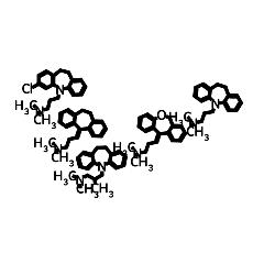 CC(CN(C)C)CN1c2ccccc2CCc2ccccc21.CN(C)CCC=C1c2ccccc2CCc2ccccc21.CN(C)CCC=C1c2ccccc2COc2ccccc21.CN(C)CCCN1c2ccccc2CCc2ccc(Cl)cc21.CN(C)CCCN1c2ccccc2CCc2ccccc21